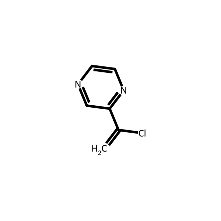 C=C(Cl)c1cnccn1